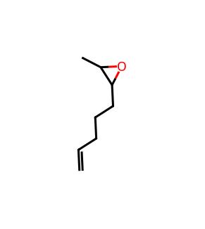 C=CCCCC1OC1C